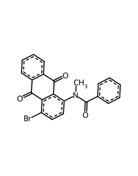 CN(C(=O)c1ccccc1)c1ccc(Br)c2c1C(=O)c1ccccc1C2=O